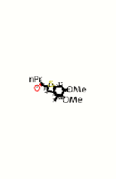 CCCC(=O)c1cc2c(C)c(OC)c(OC)cc2s1